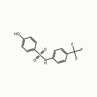 O=S(=O)(Nc1ccc(C(F)(F)F)cc1)c1ccc(O)cc1